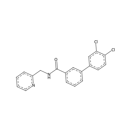 O=C(NCc1ccccn1)c1cccc(-c2ccc(Cl)c(Cl)c2)c1